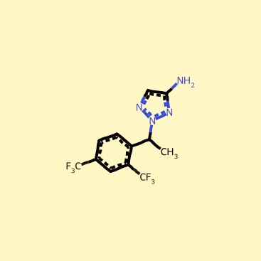 CC(c1ccc(C(F)(F)F)cc1C(F)(F)F)n1ncc(N)n1